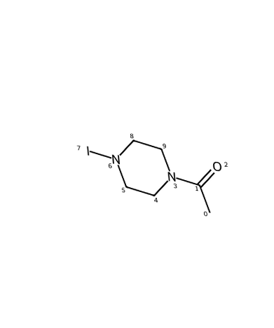 CC(=O)N1CCN(I)CC1